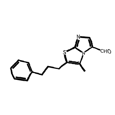 Cc1c(CCCc2ccccc2)sc2ncc(C=O)n12